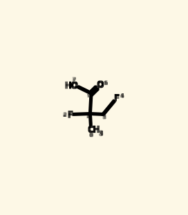 CC(F)(CF)C(=O)O